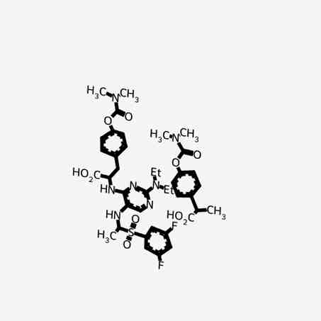 CC(C(=O)O)c1ccc(OC(=O)N(C)C)cc1.CCN(CC)c1ncc(NC(C)S(=O)(=O)c2cc(F)cc(F)c2)c(NC(Cc2ccc(OC(=O)N(C)C)cc2)C(=O)O)n1